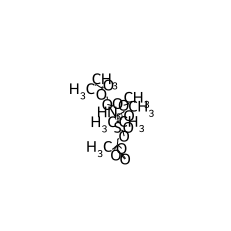 Cc1oc(=O)oc1COC(=O)SC(C)(C)[C@@H](NC(=O)OCOC(=O)C(C)C)C(=O)OC(C)C